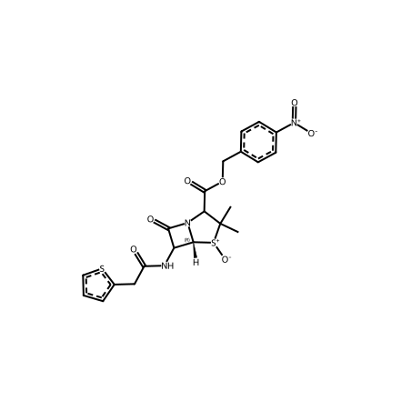 CC1(C)C(C(=O)OCc2ccc([N+](=O)[O-])cc2)N2C(=O)C(NC(=O)Cc3cccs3)[C@H]2[S+]1[O-]